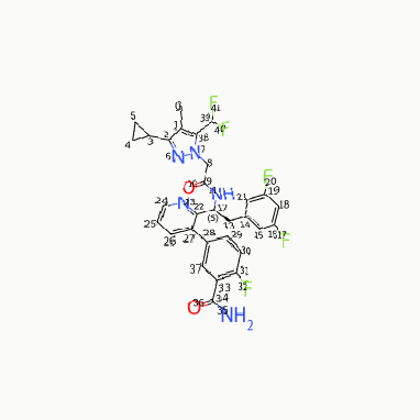 Cc1c(C2CC2)nn(CC(=O)N[C@@H](Cc2cc(F)cc(F)c2)c2ncccc2-c2ccc(F)c(C(N)=O)c2)c1C(F)F